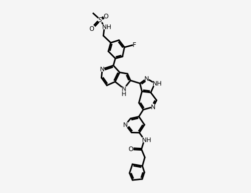 CS(=O)(=O)NCc1cc(F)cc(-c2nccc3[nH]c(-c4n[nH]c5cnc(-c6cncc(NC(=O)Cc7ccccc7)c6)cc45)cc23)c1